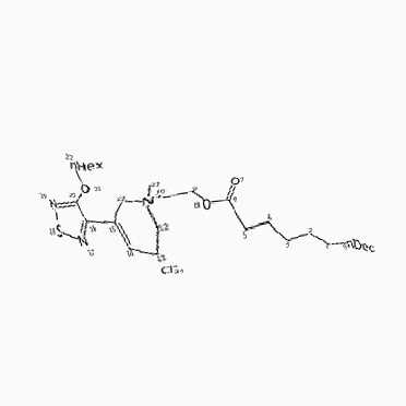 CCCCCCCCCCCCCCCC(=O)OC[N+]1(C)CCC=C(c2nsnc2OCCCCCC)C1.[Cl-]